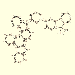 CC1(C)c2ccccc2-c2cc(-c3ccnc(-n4c5ccccc5c5c6c7ccccc7n7c8ccccc8nc7c6ccc54)c3)ccc21